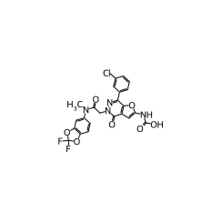 CN(C(=O)Cn1nc(-c2cccc(Cl)c2)c2oc(NC(=O)O)cc2c1=O)c1ccc2c(c1)OC(F)(F)O2